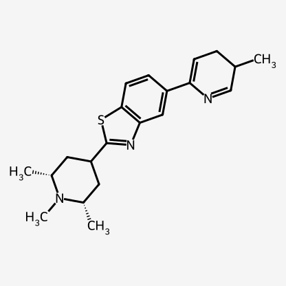 CC1C=NC(c2ccc3sc(C4C[C@@H](C)N(C)[C@@H](C)C4)nc3c2)=CC1